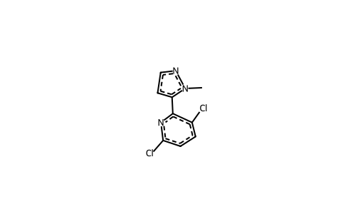 Cn1nccc1-c1nc(Cl)ccc1Cl